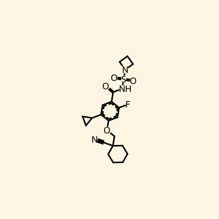 N#CC1(COc2cc(F)c(C(=O)NS(=O)(=O)N3CCC3)cc2C2CC2)CCCCC1